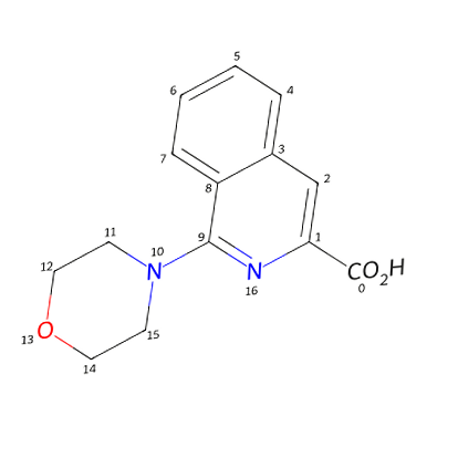 O=C(O)c1cc2ccccc2c(N2CCOCC2)n1